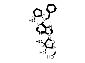 OC[C@H]1O[C@@H](n2cnc3c(N(Cc4ccccc4)[C@H]4CCC[C@@H]4O)ncnc32)[C@H](O)[C@@H]1O